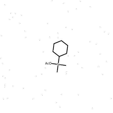 [CH2]C(=O)O[Si](C)(C)C1CCCCC1